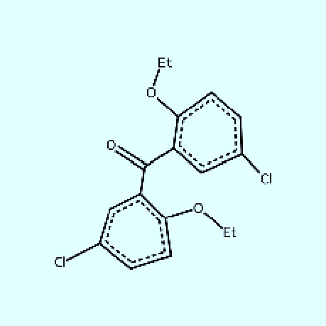 CCOc1ccc(Cl)cc1C(=O)c1cc(Cl)ccc1OCC